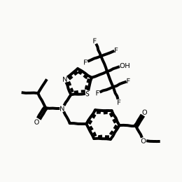 COC(=O)c1ccc(CN(C(=O)C(C)C)c2ncc(C(O)(C(F)(F)F)C(F)(F)F)s2)cc1